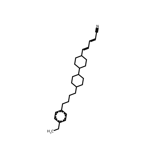 CCc1ccc(CCCCC2CCC(C3CCC(C=CC=CC#N)CC3)CC2)cc1